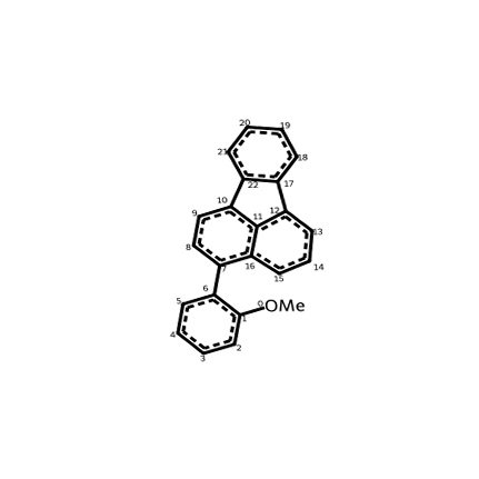 COc1ccccc1-c1ccc2c3c(cccc13)-c1ccccc1-2